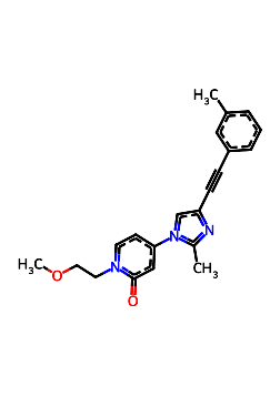 COCCn1ccc(-n2cc(C#Cc3cccc(C)c3)nc2C)cc1=O